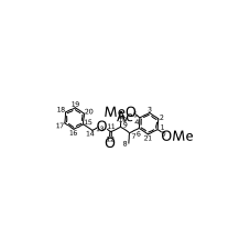 COc1ccc(OC)c(C(C)C(C(C)=O)C(=O)OCc2ccccc2)c1